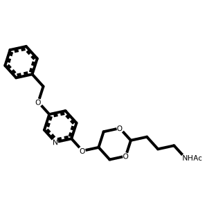 CC(=O)NCCCC1OCC(Oc2ccc(OCc3ccccc3)cn2)CO1